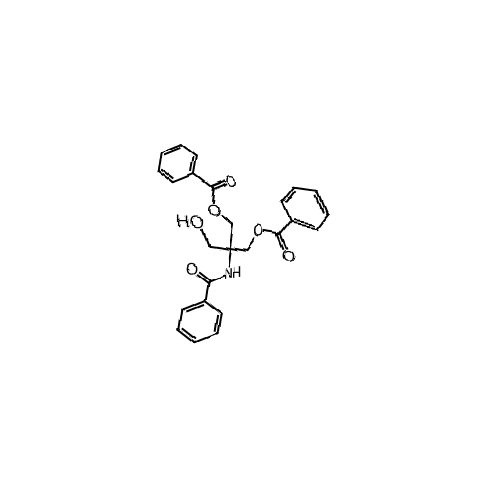 O=C(NC(CO)(COC(=O)c1ccccc1)COC(=O)c1ccccc1)c1ccccc1